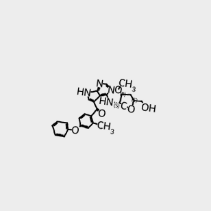 CO[C@@H]1C[C@@H](CO)OC[C@@H]1Nc1ncnc2[nH]cc(C(=O)c3ccc(Oc4ccccc4)cc3C)c12